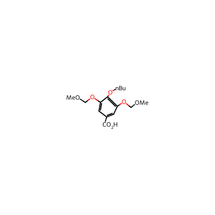 CCCCOc1c(OCOC)cc(C(=O)O)cc1OCOC